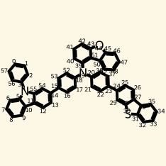 c1ccc(-n2c3ccccc3c3ccc(-c4ccc(N(c5ccc(-c6ccc7c(c6)sc6ccccc67)cc5)c5cccc6oc7ccccc7c56)cc4)cc32)cc1